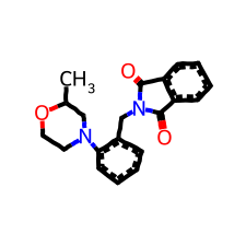 CC1CN(c2ccccc2CN2C(=O)c3ccccc3C2=O)CCO1